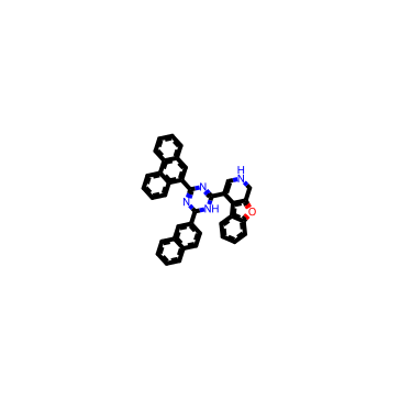 C1=C(C2=NC(c3cc4ccccc4c4ccccc34)=NC(c3ccc4ccccc4c3)N2)c2c(oc3ccccc23)CN1